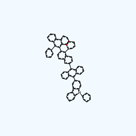 c1ccc(-c2c(-c3c(-c4ccccc4)c4ccccc4c4ccccc34)ccc3cc(-c4c5ccccc5c(-c5ccc6c(c5)c5ccccc5n6-c5ccccc5)c5ccccc45)ccc23)cc1